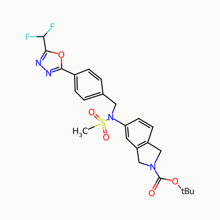 CC(C)(C)OC(=O)N1Cc2ccc(N(Cc3ccc(-c4nnc(C(F)F)o4)cc3)S(C)(=O)=O)cc2C1